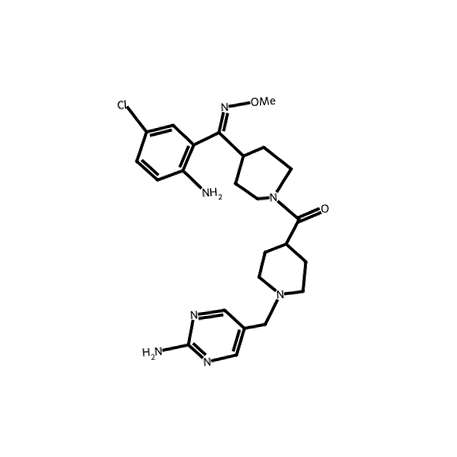 CON=C(c1cc(Cl)ccc1N)C1CCN(C(=O)C2CCN(Cc3cnc(N)nc3)CC2)CC1